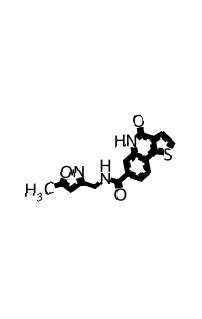 Cc1cc(CNC(=O)c2ccc3c(c2)[nH]c(=O)c2ccsc23)no1